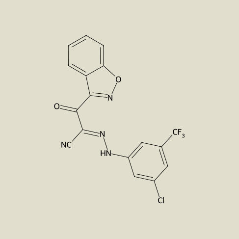 N#CC(=NNc1cc(Cl)cc(C(F)(F)F)c1)C(=O)c1noc2ccccc12